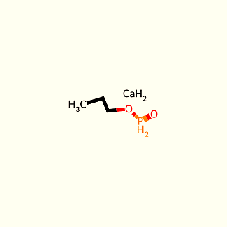 CCCO[PH2]=O.[CaH2]